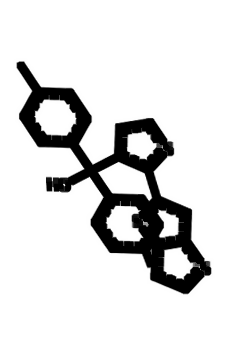 Cc1ccc(C(O)(c2ccc(C)cc2)c2ccsc2-c2cc3sccc3s2)cc1